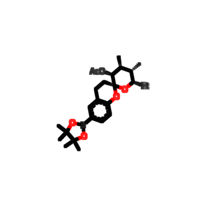 CC[C@H]1O[C@@]2(CCc3cc(B4OC(C)(C)C(C)(C)O4)ccc3O2)[C@@H](OC(C)=O)[C@@H](C)[C@@H]1C